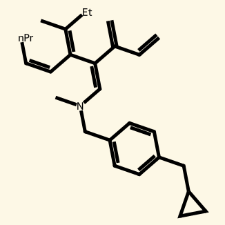 C=CC(=C)C(=C/N(C)Cc1ccc(CC2CC2)cc1)/C(/C=C\CCC)=C(/C)CC